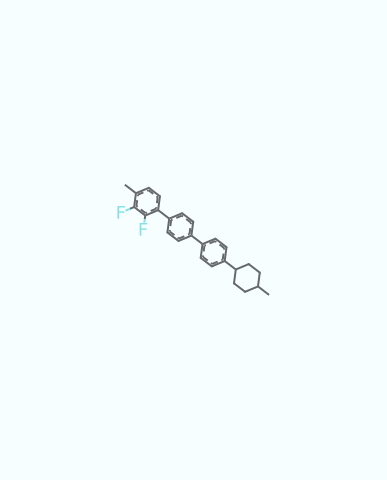 Cc1ccc(-c2ccc(-c3ccc(C4CCC(C)CC4)cc3)cc2)c(F)c1F